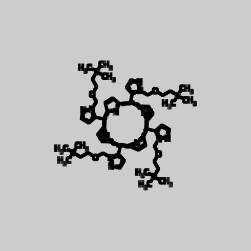 C[Si](C)(C)CCOCn1nccc1-c1c2nc(c(-c3ccnn3COCC[Si](C)(C)C)c3ccc([nH]3)c(-c3ccnn3COCC[Si](C)(C)C)c3nc(c(-c4ccnn4COCC[Si](C)(C)C)c4ccc1[nH]4)C=C3)C=C2